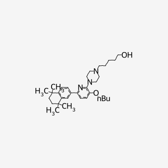 CCCCOc1ccc(-c2ccc3c(c2)C(C)(C)CCC3(C)C)nc1N1CCN(CCCCCO)CC1